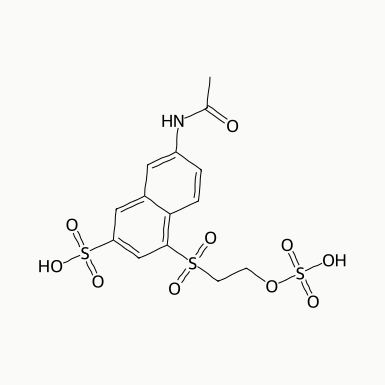 CC(=O)Nc1ccc2c(S(=O)(=O)CCOS(=O)(=O)O)cc(S(=O)(=O)O)cc2c1